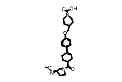 CO/N=C1/CCN(C(=O)C2CC=C(c3ccc(OCC4CCN(C(=O)O)CC4)cc3)CC2)C1